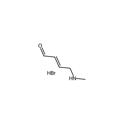 Br.CNCC=CC=O